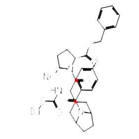 CC(C)(C)OC(=O)N[C@H](C(=O)N1[C@@H](C#N)CC[C@H]1C(=O)OCc1ccccc1)C1CC2CCC(C1)N2C(=O)c1ccc(C(F)(F)F)cc1